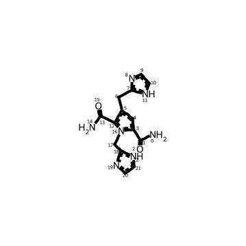 NC(=O)c1cc(Cc2ncc[nH]2)c(C(N)=O)n1Cc1ncc[nH]1